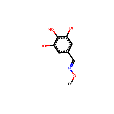 CCON=Cc1cc(O)c(O)c(O)c1